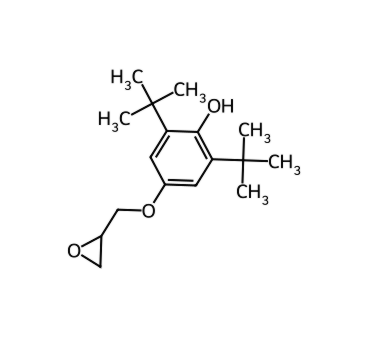 CC(C)(C)c1cc(OCC2CO2)cc(C(C)(C)C)c1O